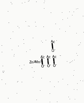 CC(=O)[O-].CC(=O)[O-].CC(=O)[O-].CC(=O)[O-].[Mn+2].[Zn+2]